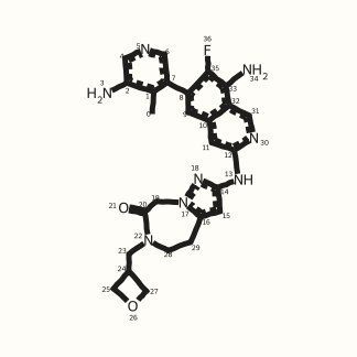 Cc1c(N)cncc1-c1cc2cc(Nc3cc4n(n3)CC(=O)N(CC3COC3)CC4)ncc2c(N)c1F